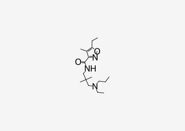 CCCN(CC)CC(C)(C)CNC(=O)c1noc(CC)c1C